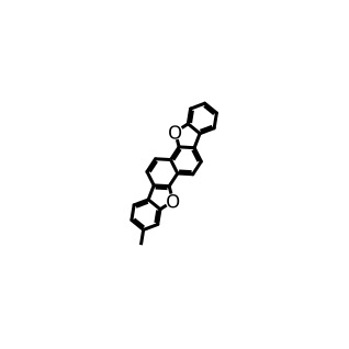 Cc1ccc2c(c1)oc1c2ccc2c1ccc1c3ccccc3oc12